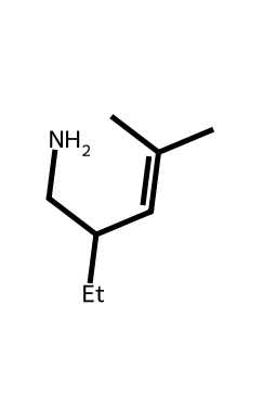 CCC(C=C(C)C)CN